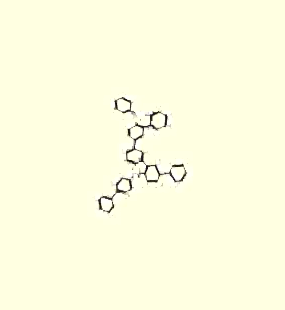 c1ccc(Nc2ccc(-c3ccc4c(c3)c3cc(-c5ccccc5)ccc3n4-c3ccc(-c4ccccc4)cc3)cc2-c2ccccc2)cc1